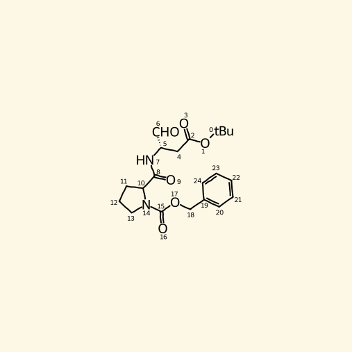 CC(C)(C)OC(=O)C[C@@H](C=O)NC(=O)C1CCCN1C(=O)OCc1ccccc1